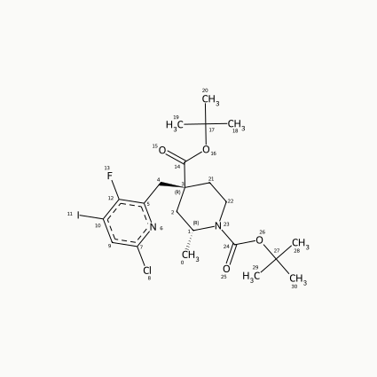 C[C@@H]1C[C@](Cc2nc(Cl)cc(I)c2F)(C(=O)OC(C)(C)C)CCN1C(=O)OC(C)(C)C